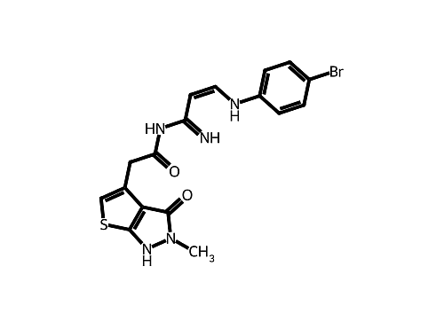 Cn1[nH]c2scc(CC(=O)NC(=N)/C=C\Nc3ccc(Br)cc3)c2c1=O